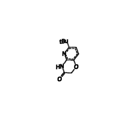 CC(C)(C)c1ccc2c(n1)NC(=O)CO2